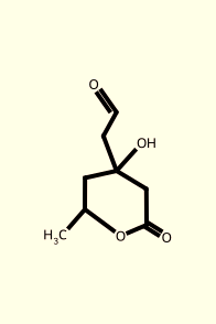 CC1CC(O)(CC=O)CC(=O)O1